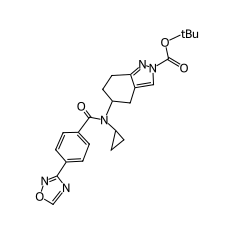 CC(C)(C)OC(=O)n1cc2c(n1)CCC(N(C(=O)c1ccc(-c3ncon3)cc1)C1CC1)C2